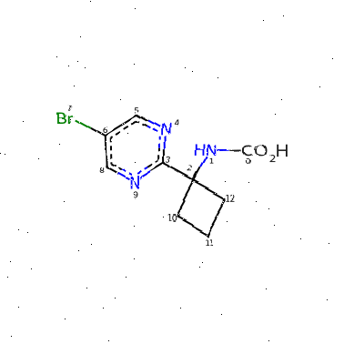 O=C(O)NC1(c2ncc(Br)cn2)CCC1